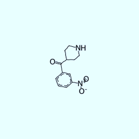 O=C(c1cccc([N+](=O)[O-])c1)C1CCNCC1